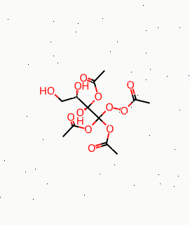 CC(=O)OOC(OC(C)=O)(OC(C)=O)[C@@](O)(OC(C)=O)[C@H](O)CO